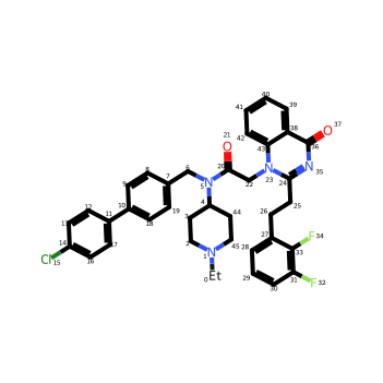 CCN1CCC(N(Cc2ccc(-c3ccc(Cl)cc3)cc2)C(=O)Cn2c(CCc3cccc(F)c3F)nc(=O)c3ccccc32)CC1